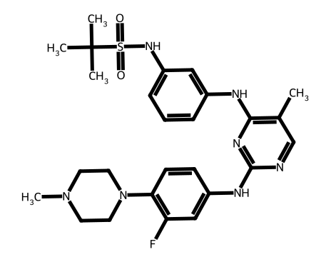 Cc1cnc(Nc2ccc(N3CCN(C)CC3)c(F)c2)nc1Nc1cccc(NS(=O)(=O)C(C)(C)C)c1